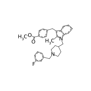 COC(=O)c1ccc(Cc2c(C)n(CC3CCN(Cc4cccc(F)c4)CC3)c3ccccc23)cc1